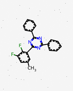 Cc1cc(F)c(F)c(-c2nc(-c3ccccc3)nc(-c3ccccc3)n2)c1